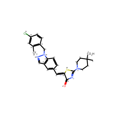 CC1(C(=O)O)CCN(C2=NC(=O)/C(=C/c3ccc4c(cnn4Cc4ccc(Cl)cc4C(F)(F)F)c3)S2)CC1